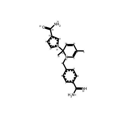 CC1=CN(Cc2ccc(C(=N)N)cc2)C(C)(n2ccc(C(N)=O)c2)C=C1